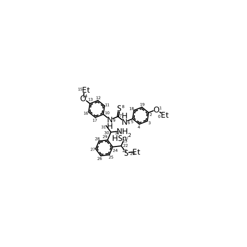 CCOc1ccc(NC(=S)Nc2ccc(OCC)cc2)cc1.CCS[CH]([SnH])c1ccccc1C(C)N